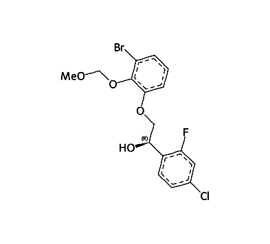 COCOc1c(Br)cccc1OC[C@H](O)c1ccc(Cl)cc1F